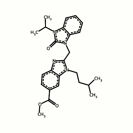 COC(=O)c1ccc2nc(Cn3c(=O)n(C(C)C)c4ccccc43)n(CCC(C)C)c2c1